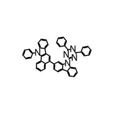 c1ccc(-c2nc(-c3ccccc3)nc(-n3c4ccccc4c4ccc(-c5cc6c7ccccc7n(-c7ccccc7)c6c6ccccc56)cc43)n2)cc1